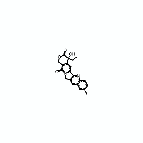 CC[C@@]1(O)C(=O)OCc2c1cc1n(c2=O)Cc2cc3cc(C)ccc3nc2-1